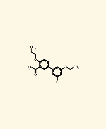 CCCOc1ccc(-c2cc(F)cc(OCC)c2)cc1C(N)=O